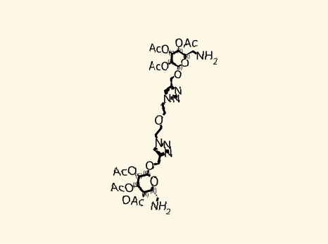 CC(=O)O[C@@H]1[C@H](OC(C)=O)[C@@H](OCc2cn(CCOCCn3cc(CO[C@H]4O[C@H](CN)[C@@H](OC(C)=O)[C@H](OC(C)=O)[C@@H]4OC(C)=O)nn3)nn2)O[C@H](CN)[C@H]1OC(C)=O